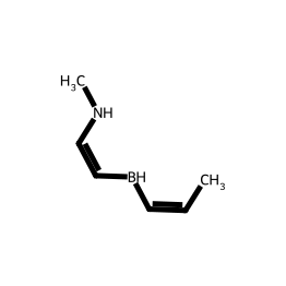 C/C=C\B/C=C\NC